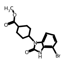 COC(=O)C1CCC(n2c(=O)[nH]c3c(Br)cccc32)CC1